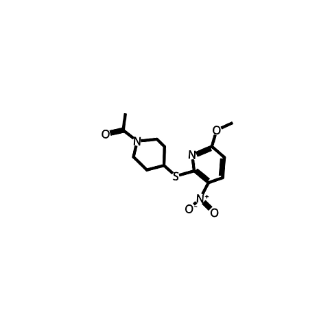 COc1ccc([N+](=O)[O-])c(SC2CCN(C(C)=O)CC2)n1